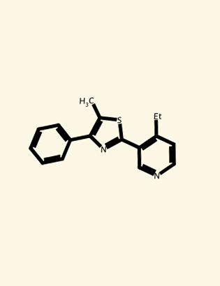 CCc1ccncc1-c1nc(-c2ccccc2)c(C)s1